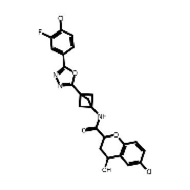 O=C(NC12CC(c3nnc(-c4ccc(Cl)c(F)c4)o3)(C1)C2)C1CC(O)c2cc(Cl)ccc2O1